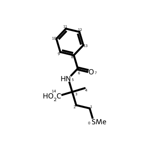 CSCCC(C)(NC(=O)c1ccccc1)C(=O)O